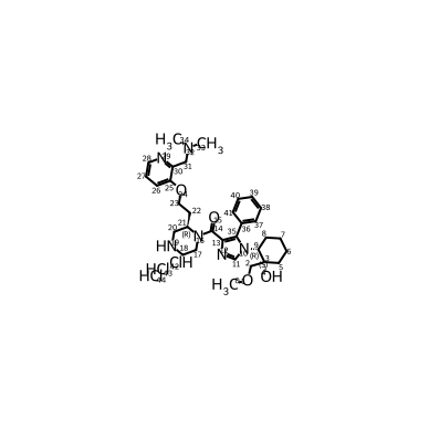 COC[C@]1(O)CCCC[C@H]1n1cnc(C(=O)N2CCNC[C@H]2CCOc2cccnc2CN(C)C)c1-c1ccccc1.Cl.Cl.Cl